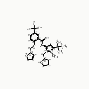 Cn1c(C(C)(C)C)cc(=NC(=O)c2cc(C(F)(F)F)ccc2OC[C@@H]2C=CCO2)n1C[C@H]1CCCO1